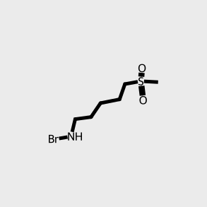 CS(=O)(=O)CCCCCNBr